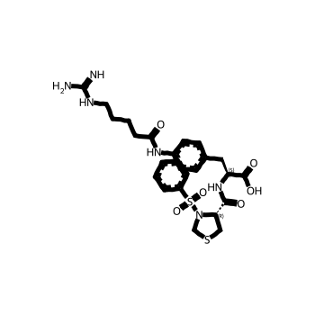 N=C(N)NCCCCC(=O)Nc1ccc(C[C@H](NC(=O)[C@@H]2CSCN2S(=O)(=O)c2ccccc2)C(=O)O)cc1